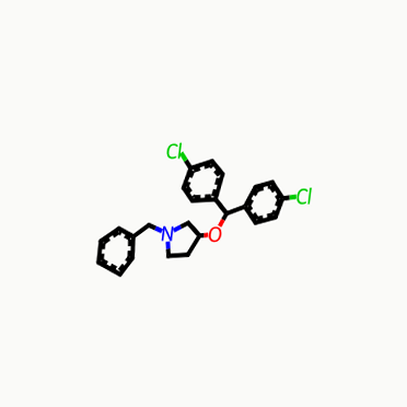 Clc1ccc(C(OC2CCN(Cc3ccccc3)C2)c2ccc(Cl)cc2)cc1